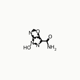 NC(=O)c1nn(O)c2ncoc12